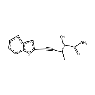 CC(C#Cc1cc2ccccc2s1)N(O)C(N)=O